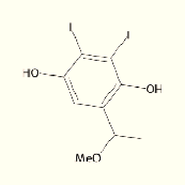 COC(C)c1cc(O)c(I)c(I)c1O